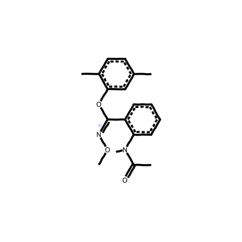 CO/N=C(/Oc1cc(C)ccc1C)c1ccccc1N(C)C(C)=O